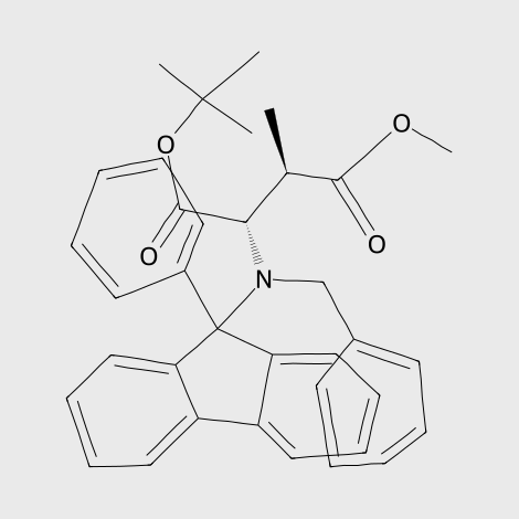 COC(=O)[C@H](C)[C@@H](C(=O)OC(C)(C)C)N(Cc1ccccc1)C1(c2ccccc2)c2ccccc2-c2ccccc21